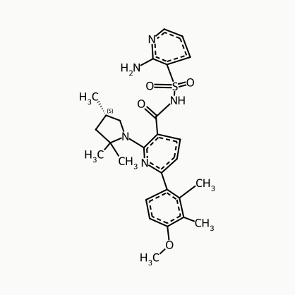 COc1ccc(-c2ccc(C(=O)NS(=O)(=O)c3cccnc3N)c(N3C[C@@H](C)CC3(C)C)n2)c(C)c1C